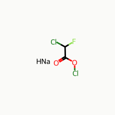 O=C(OCl)C(F)Cl.[NaH]